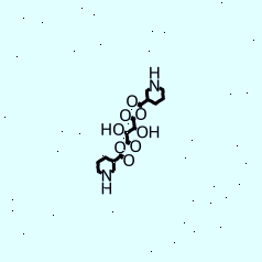 O=C(OC(=O)C(O)C(O)C(=O)OC(=O)C1CCCNC1)C1CCCNC1